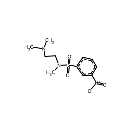 CN(C)CCN(C)S(=O)(=O)c1[c]ccc([N+](=O)[O-])c1